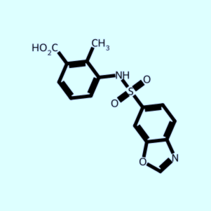 Cc1c(NS(=O)(=O)c2ccc3ncoc3c2)cccc1C(=O)O